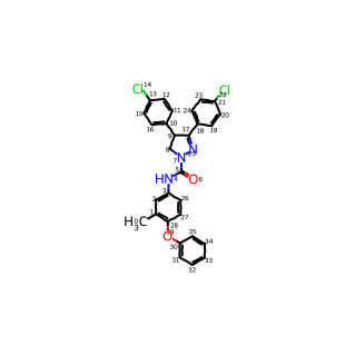 Cc1cc(NC(=O)N2CC(c3ccc(Cl)cc3)C(c3ccc(Cl)cc3)=N2)ccc1Oc1ccccc1